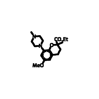 CCOC(=O)C1(C)CCc2cc(OC)cc(N3CCN(C)CC3)c2O1